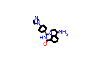 N[C@@H]1CCN2c3c(cccc31)C(=O)N[C@H]2c1ccc(-n2ccnc2)cc1